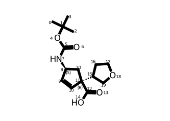 CC(C)(C)OC(=O)N[C@@H]1C=C[C@@](C(=O)O)(C2CCOC2)C1